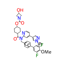 COc1c(F)cc(C23CCC(CN(C(=O)C4CCC(OC(=O)N5CC(O)C5)CC4)c4cc(-c5cnn(C(C)C)c5)ccn4)(CC2)CC3)cc1F